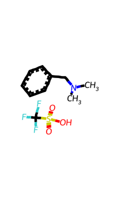 CN(C)Cc1ccccc1.O=S(=O)(O)C(F)(F)F